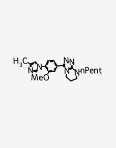 CCCCCN1CCCn2c(-c3ccc(-n4cnc(C)c4)c(OC)c3)nnc21